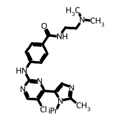 Cc1ncc(-c2nc(Nc3ccc(C(=O)NCCN(C)C)cc3)ncc2Cl)n1C(C)C